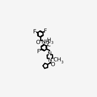 Cc1c(CN2CCN(C(=O)C3CCCC3)[C@@H](C)C2)cc(F)cc1NC(=O)c1cc(F)cc(F)c1